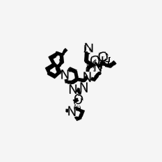 C=CC(=O)N1CCN(c2nc(OC[C@@H]3CCCN3C)nc3c2CCN(c2cccc4ccc(C)cc24)C3)C[C@@]1(O)CC#N